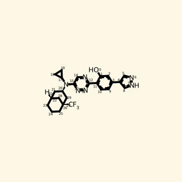 Oc1cc(-c2cn[nH]c2)ccc1-c1ncc(N(C2CC2)[C@@H]2C[C@H]3CCC[C@](C(F)(F)F)(C3)C2)nn1